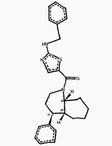 O=C(c1cnc(NCc2ccccc2)s1)N1CC[C@H](c2ccccc2)[C@H]2CCCC[C@H]21